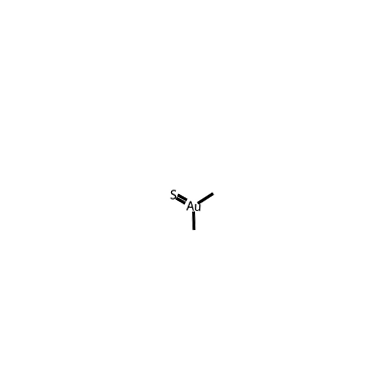 [CH3][Au]([CH3])=[S]